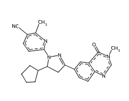 Cc1nc(N2N=C(c3ccc4ncn(C)c(=O)c4c3)CC2C2CCCC2)ccc1C#N